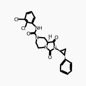 O=C(Nc1cccc(Cl)c1Cl)N1CCN2C(=O)N([C@H]3C[C@@H]3c3ccccc3)C(=O)[C@@H]2C1